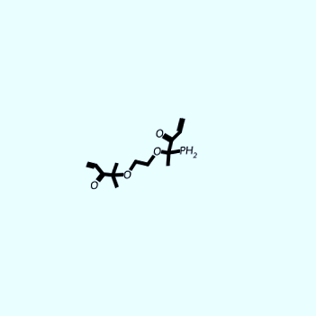 C=CC(=O)C(C)(C)OCCOC(C)(P)C(=O)C=C